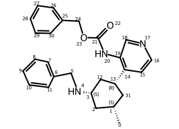 C[C@@H]1C[C@H](NCc2ccccc2)C[C@H](c2ccncc2NC(=O)OCc2ccccc2)C1